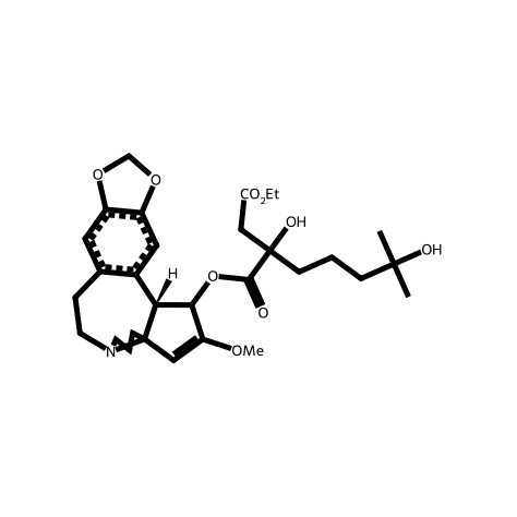 CCOC(=O)CC(O)(CCCC(C)(C)O)C(=O)OC1C(OC)=CC23CCCN2CCc2cc4c(cc2[C@H]13)OCO4